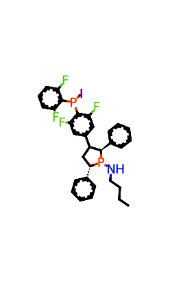 CCCCNP1[C@H](c2ccccc2)C(c2cc(F)c(P(I)c3c(F)cccc3F)c(F)c2)C[C@H]1c1ccccc1